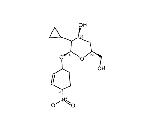 O=[N+]([O-])[C@@H]1C=CC(O[C@@H]2O[C@H](CO)C[C@H](O)C2C2CC2)CC1